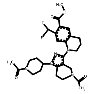 COC(=O)c1cc2c(cc1C(F)F)N(c1nn(C3CCN(C(C)=O)CC3)c3c1CN(C(C)=O)CC3)CCC2